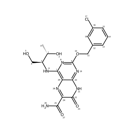 C[C@H](O)[C@H](CO)Nc1nc(OCc2cccc(Cl)c2)nc2[nH]c(=O)c(C(N)=O)nc12